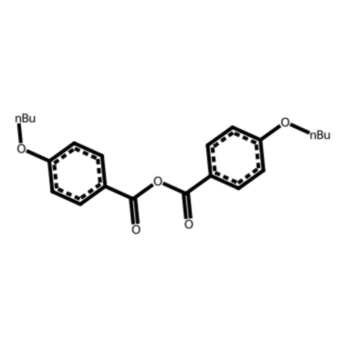 CCCCOc1ccc(C(=O)OC(=O)c2ccc(OCCCC)cc2)cc1